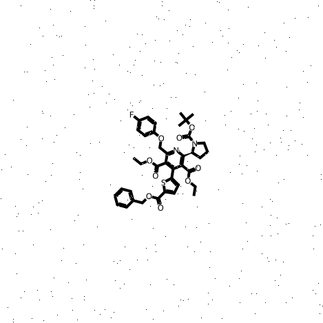 CCOC(=O)c1c(COc2ccc(F)cc2)nc([C@@H]2CCCN2C(=O)OC(C)(C)C)c(C(=O)OCC)c1-c1ccc(C(=O)OCc2ccccc2)s1